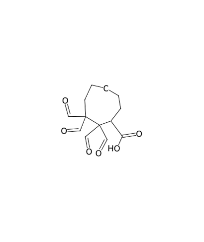 O=CC1(C=O)CCCCCC(C(=O)O)C1(C=O)C=O